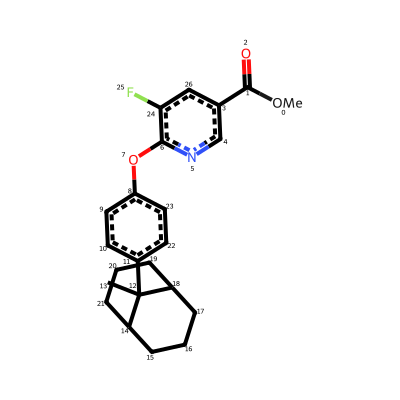 COC(=O)c1cnc(Oc2ccc(C3(C)C4CCCC3CCC4)cc2)c(F)c1